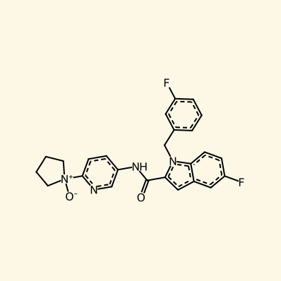 O=C(Nc1ccc([N+]2([O-])CCCC2)nc1)c1cc2cc(F)ccc2n1Cc1cccc(F)c1